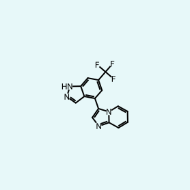 FC(F)(F)c1cc(-c2cnc3ccccn23)c2cn[nH]c2c1